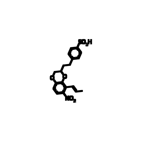 CC=Cc1c([N+](=O)[O-])ccc2c1OC(CCc1ccc(S(=O)(=O)O)cc1)CO2